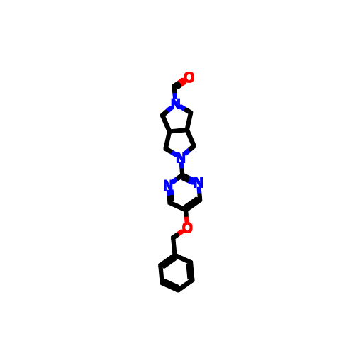 O=CN1CC2CN(c3ncc(OCc4ccccc4)cn3)CC2C1